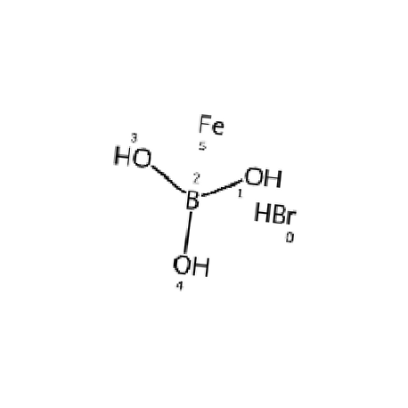 Br.OB(O)O.[Fe]